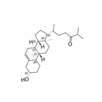 CC(C)C(=O)CCC(C)[C@H]1CC[C@H]2[C@@H]3CC=C4C[C@@H](O)CC[C@]4(C)[C@H]3CC[C@]12C